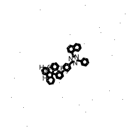 Cc1ccccc1C1(c2cccc(-c3ccc(-c4nc(-c5ccccc5)nc(-c5cccc6ccccc56)n4)cc3)c2C)c2ccccc2[C@@H]2C=CC=CC21